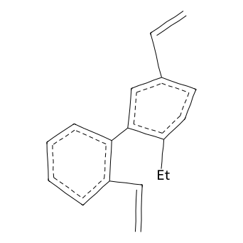 C=Cc1ccc(CC)c(-c2ccccc2C=C)c1